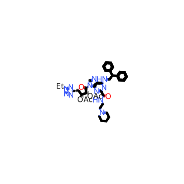 CCn1nnc([C@H]2O[C@@H](n3cnc4c(NCC(c5ccccc5)c5ccccc5)nc(C(=O)NCCN5CCCCC5)nc43)[C@H](OC(C)=O)[C@H]2OC(C)=O)n1